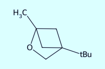 CC12CC(C(C)(C)C)(CO1)C2